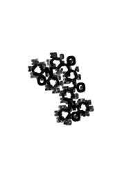 O=C(c1ccc(C(=O)c2cccc(N3c4ccccc4Oc4ccccc43)c2)cc1)c1cccc(N2c3ccccc3Oc3ccccc32)c1